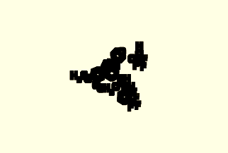 COc1ccc([C@@]23CC[C@@H](NC(=O)Nc4cccc(C(F)(F)F)c4F)C[C@@H]2N(C2CCOCC2)CC3)cc1OC.O=C(O)C(F)(F)F